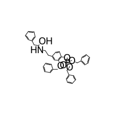 O=P(OCc1ccccc1)(OCc1ccccc1)Oc1ccc(CCNC(O)Cc2ccccc2)cc1OCc1ccccc1